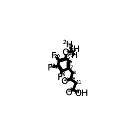 [2H]C([2H])([2H])Oc1cc(CC(=O)CC(=O)O)c(F)c(F)c1F